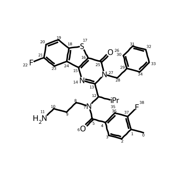 Cc1ccc(C(=O)N(CCCN)C(c2nc3c(sc4ccc(F)cc43)c(=O)n2Cc2ccccc2)C(C)C)cc1F